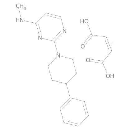 CNc1ccnc(N2CCC(c3ccccc3)CC2)n1.O=C(O)/C=C\C(=O)O